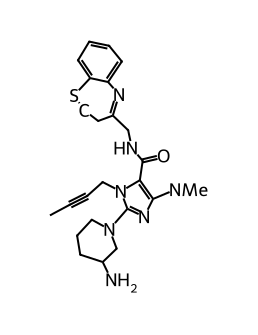 CC#CCn1c(N2CCCC(N)C2)nc(NC)c1C(=O)NCC1=Nc2ccccc2SCC1